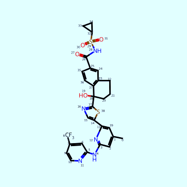 Cc1cc(Nc2cc(C(F)(F)F)ccn2)nc(-c2cnc(C3(O)CCCc4cc(C(=O)NS(=O)(=O)C5CC5)ccc43)s2)c1